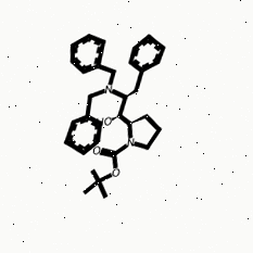 CC(C)(C)OC(=O)N1CCC[C@@H]1[C@H](O)[C@H](Cc1ccccc1)N(Cc1ccccc1)Cc1ccccc1